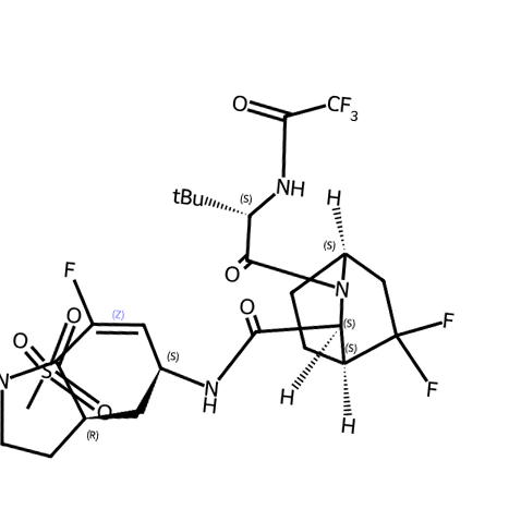 CC(C)(C)[C@H](NC(=O)C(F)(F)F)C(=O)N1[C@H]2CC[C@@H]([C@H]1C(=O)N[C@H](/C=C(/F)S(C)(=O)=O)C[C@H]1CCNC1=O)C(F)(F)C2